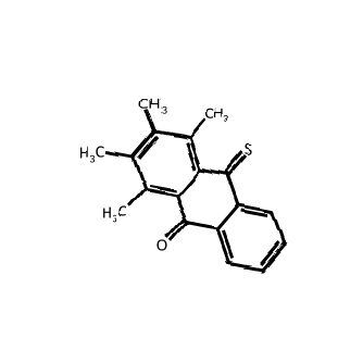 Cc1c(C)c(C)c2c(c1C)C(=O)c1ccccc1C2=S